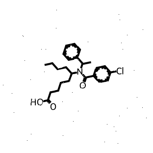 CCCCC(CCCCC(=O)O)N(C(=O)c1ccc(Cl)cc1)C(C)c1ccccc1